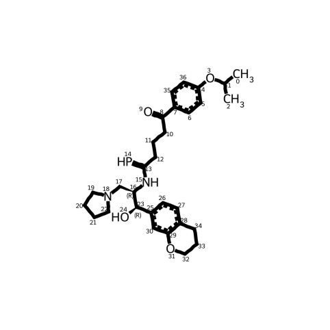 CC(C)Oc1ccc(C(=O)CCCC(=P)N[C@H](CN2CCCC2)[C@H](O)c2ccc3c(c2)OCCC3)cc1